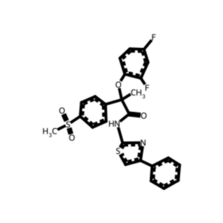 CC(Oc1ccc(F)cc1F)(C(=O)Nc1nc(-c2ccccc2)cs1)c1ccc(S(C)(=O)=O)cc1